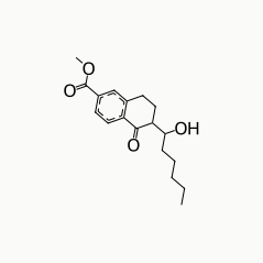 CCCCCC(O)C1CCc2cc(C(=O)OC)ccc2C1=O